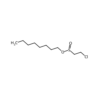 CCCCCCCCOS(=O)CCCl